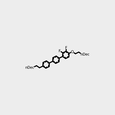 CCCCCCCCCCCCOc1ccc(-c2ccc(-c3ccc(CCCCCCCCCCCC)cc3)cc2)c(F)c1F